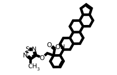 Cc1nsnc1OCC1(C(=O)O)CCC=CC1C1CCC2C(CCC3C2CCC2C4CC=CC4CCC23)C1